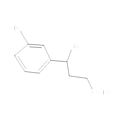 CCOC(=O)CCC(S)c1cccc(Br)c1